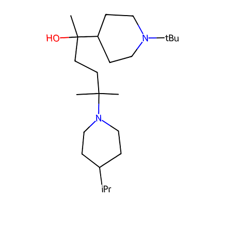 CC(C)C1CCN(C(C)(C)CCC(C)(O)C2CCN(C(C)(C)C)CC2)CC1